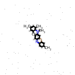 C=c1ccc2c(c1)Sc1cc(N(C)c3c(C)cc(C)cc3C)ccc1N=2